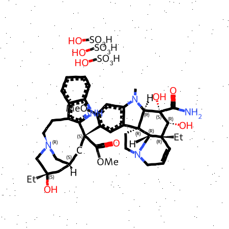 CC[C@]1(O)C[C@H]2C[N@](CCc3c([nH]c4ccccc34)[C@@](C(=O)OC)(c3cc4c(cc3OC)N(C)[C@H]3[C@@](O)(C(N)=O)[C@H](O)[C@]5(CC)C=CCN6CC[C@]43[C@@H]65)C2)C1.O=S(=O)(O)O.O=S(=O)(O)O.O=S(=O)(O)O